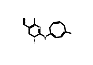 C=CC1=C(C)N=C(N/C2=C/C=C(/C)CC=CC2)[C@H](C)C1